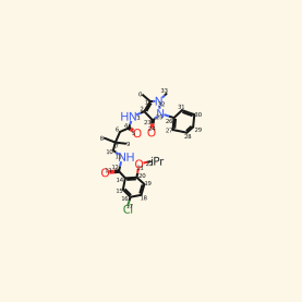 Cc1c(NC(=O)CC(C)(C)CNC(=O)c2cc(Cl)ccc2OC(C)C)c(=O)n(-c2ccccc2)n1C